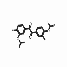 Cc1cc(C(=O)C(=O)c2ccc(F)c(OC(C)C)c2)ccc1OC(F)F